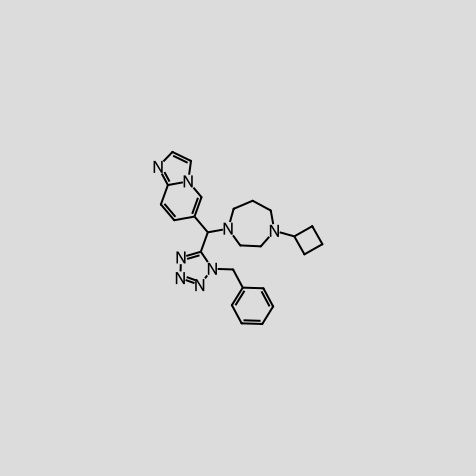 c1ccc(Cn2nnnc2C(c2ccc3nccn3c2)N2CCCN(C3CCC3)CC2)cc1